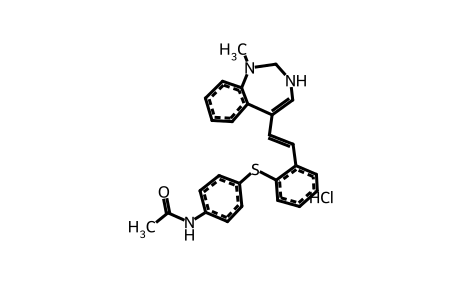 CC(=O)Nc1ccc(Sc2ccccc2C=CC2=CNCN(C)c3ccccc32)cc1.Cl